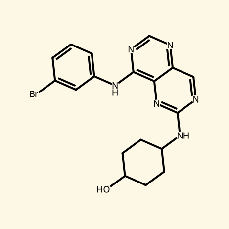 OC1CCC(Nc2ncc3ncnc(Nc4cccc(Br)c4)c3n2)CC1